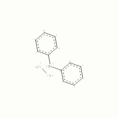 CCCO.c1ccc(Nc2ccccc2)cc1